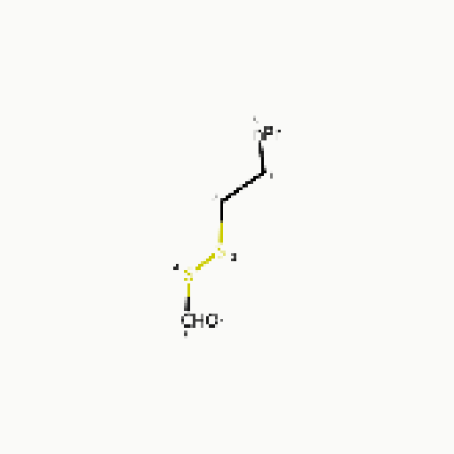 CCCCCSS[C]=O